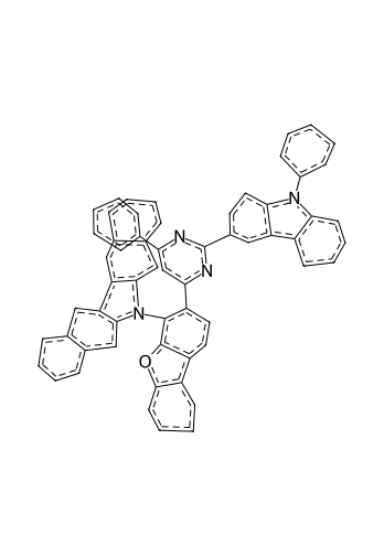 c1ccc(-c2cc(-c3ccc4c(oc5ccccc54)c3-n3c4cc5ccccc5cc4c4cc5ccccc5cc43)nc(-c3ccc4c(c3)c3ccccc3n4-c3ccccc3)n2)cc1